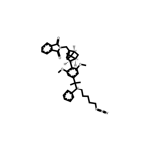 COc1cc(C(C)(C)[C@@H](CCCCCN=[N+]=[N-])c2ccccc2)cc(OC)c1[C@H]1C=C(CN2C(=O)c3ccccc3C2=O)[C@H]2C[C@@H]1C2(C)C